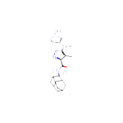 BN1CC[C@H](N(C)c2c(C)c(C(=O)N[C@H]3C4CC5CC3C[C@](O)(C5)C4)nn2C)C1